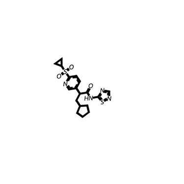 O=C(Nc1ncns1)C(CC1CCCC1)c1ccc(S(=O)(=O)C2CC2)nc1